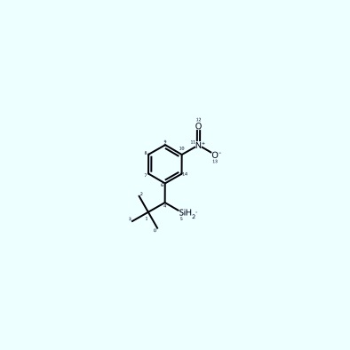 CC(C)(C)C([SiH2])c1cccc([N+](=O)[O-])c1